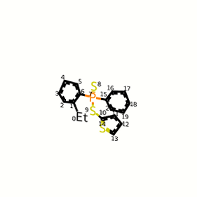 CCc1ccccc1P(=S)(Sc1cccs1)c1ccccc1